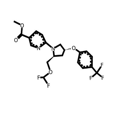 COC(=O)c1ccc(N2C[C@H](Oc3ccc(C(F)(F)F)cc3)C[C@H]2COC(F)F)nc1